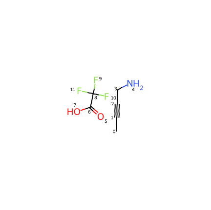 CC#CCN.O=C(O)C(F)(F)F